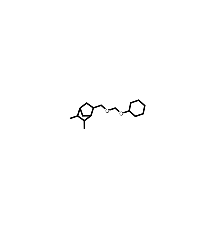 CC1C2CC(COCOC3CCCCC3)C(C2)C1C